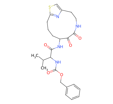 CC(C)C(NC(=O)OCc1ccccc1)C(=O)NC1CCCc2nc(cs2)CCNC(=O)C1=O